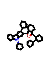 c1ccc(-c2ccccc2-c2oc(-c3cc4c(cc3-c3ccccc3)c3ccccc3n4-c3ccccc3)c3ccccc23)cc1